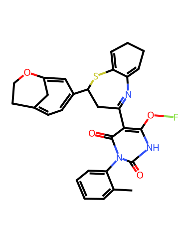 Cc1ccccc1-n1c(=O)[nH]c(OF)c(C2=NC3=CCCC=C3SC(C3=CC=C4CCOC(=C3)C4)C2)c1=O